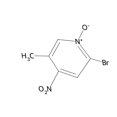 Cc1c[n+]([O-])c(Br)cc1[N+](=O)[O-]